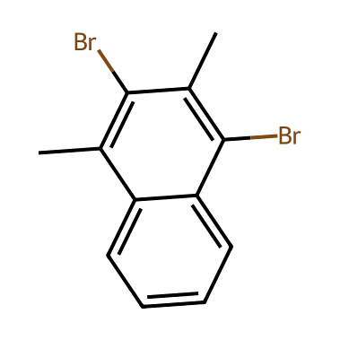 Cc1c(Br)c(C)c2ccccc2c1Br